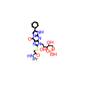 CC(C)NC(=O)CSc1nc2c(=O)n3cc(-c4ccccc4)[nH]c3nc2n1C[C@@H](O)C1OP(O)OCC1O